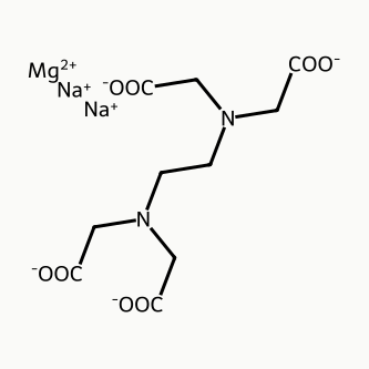 O=C([O-])CN(CCN(CC(=O)[O-])CC(=O)[O-])CC(=O)[O-].[Mg+2].[Na+].[Na+]